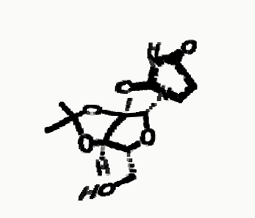 CC1(C)O[C@@H]2[C@@H](CO)O[C@@H](n3ccc(=O)[nH]c3=O)[C@]2(C)O1